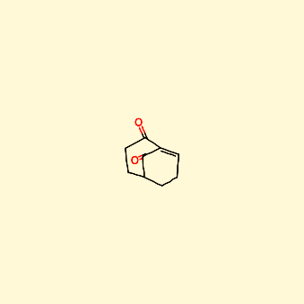 O=C1CCC2CCC=C1C2=O